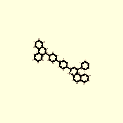 c1ccc(-c2cc(-c3ccc(-c4ccc(-c5cc6ccccc6c6ccccc56)cc4)cc3)nc3ccc4ccccc4c23)cc1